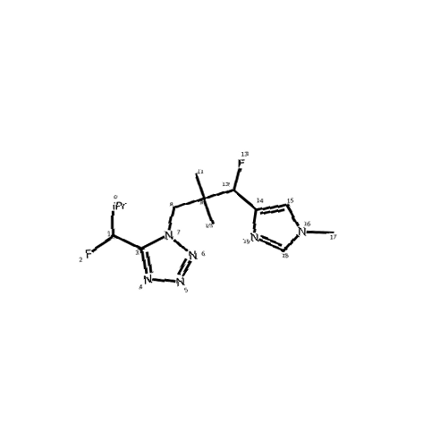 CC(C)C(F)c1nnnn1CC(C)(C)C(F)c1cn(C)cn1